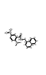 CN(C)c1ccc([N+](=O)[O-])cc1C(=O)NCc1cccc2ccccc12